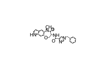 CN1C(=O)C(NC(=O)c2cn(Cc3ccccc3)cn2)COc2cc3[nH]ccc3cc21